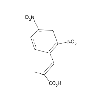 CC(=Cc1ccc([N+](=O)[O-])cc1[N+](=O)[O-])C(=O)O